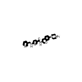 O=C(N[C@H]1COc2cc(N3CCNCC3)ccc2C1)c1ccc(NCc2cccnc2)nc1